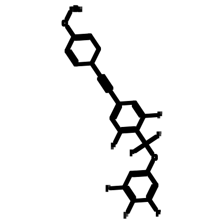 CCCCOC1=CCC(C#Cc2cc(F)c(C(F)(F)Oc3cc(F)c(F)c(F)c3)c(F)c2)C=C1